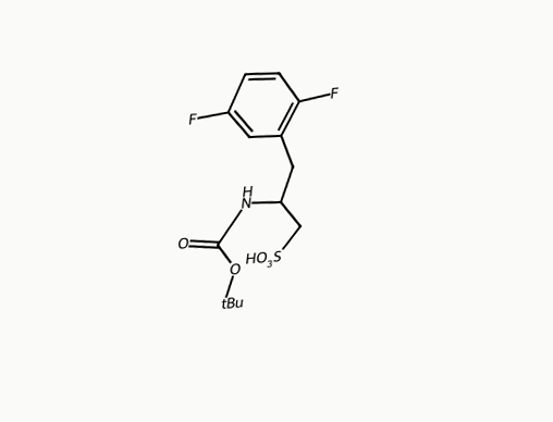 CC(C)(C)OC(=O)NC(Cc1cc(F)ccc1F)CS(=O)(=O)O